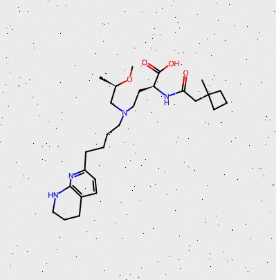 CO[C@H](C)CN(CCCCc1ccc2c(n1)NCCC2)CC[C@H](NC(=O)CC1(C)CCC1)C(=O)O